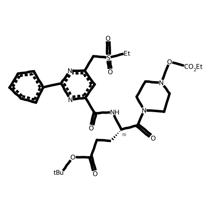 CCOC(=O)ON1CCN(C(=O)[C@H](CCC(=O)OC(C)(C)C)NC(=O)c2cc(CS(=O)(=O)CC)nc(-c3ccccc3)n2)CC1